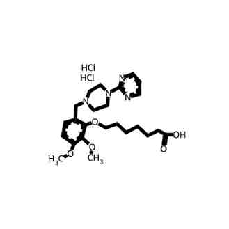 COc1ccc(CN2CCN(c3ncccn3)CC2)c(OCCCCCCC(=O)O)c1OC.Cl.Cl